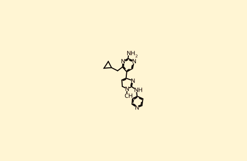 CN1CC=C(c2cnc(N)nc2CC2CC2)N=C1Nc1ccncc1